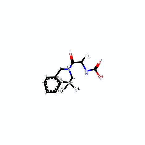 CC(NC(=O)O)C(=O)N(Cc1ccccc1)C[Si](C)(C)C